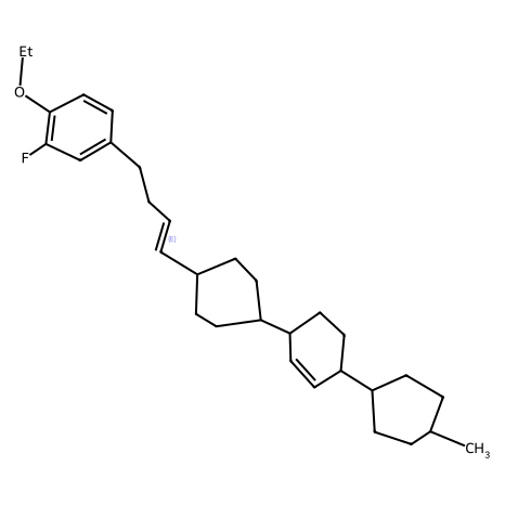 CCOc1ccc(CC/C=C/C2CCC(C3C=CC(C4CCC(C)CC4)CC3)CC2)cc1F